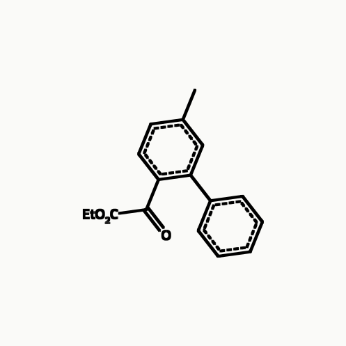 CCOC(=O)C(=O)c1ccc(C)cc1-c1ccccc1